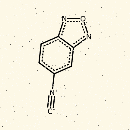 [C-]#[N+]c1ccc2nonc2c1